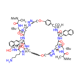 CN[C@@H](C)C(=O)N[C@H](C(=O)N1C[C@@H]2C[C@H]1C(=O)N[C@@H](Cc1ccc3ccccc3c1)C(=O)N[C@H](C(=O)O)Cc1ccc(cc1)OCc1cn(nn1)[C@H]1C[C@@H](C(=O)N[C@@H](Cc3ccc4ccccc4c3)C(=O)N[C@H](C(=O)N[C@@H](CCCCN)C(=O)N[C@@H](CO)C(=O)O)Cc3ccc(cc3)OCc3cn2nn3)N(C(=O)[C@@H](NC(=O)[C@H](C)NC)C(C)(C)C)C1)C(C)(C)C